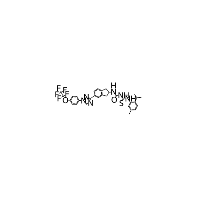 Cc1ccc(C(C)C)c(NC(=S)NC(=O)NC2Cc3ccc(-c4ncn(-c5ccc(OC(F)(F)C(F)(F)F)cc5)n4)cc3C2)c1